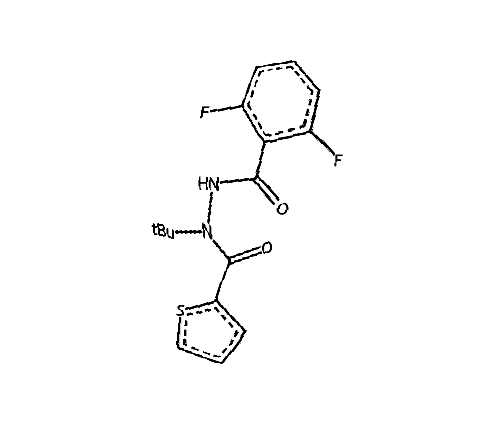 CC(C)(C)N(NC(=O)c1c(F)cccc1F)C(=O)c1cccs1